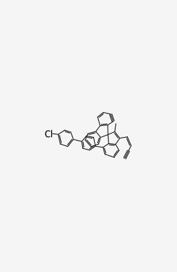 C#C/C=C\C1=C(C)C2(c3c#cccc3-c3ccccc32)c2c1cccc2-c1ccc(-c2ccc(Cl)cc2)cc1